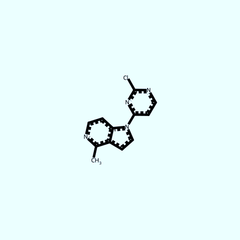 Cc1nccc2c1ccn2-c1ccnc(Cl)n1